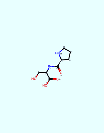 O=C(O)C(CO)NC(=O)[C@@H]1CCCN1